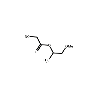 COCC(C)OC(=O)CC#N